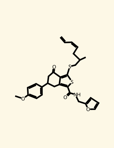 C=C/C=C\CC(C)CSc1sc(C(=O)NCc2ccco2)c2c1C(=O)CC(c1ccc(OC)cc1)C2